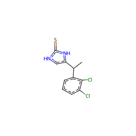 CC(c1c[nH]c(=S)[nH]1)c1cccc(Cl)c1Cl